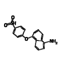 Nc1cccc2c(Oc3ccc([SH](=O)=O)cc3)cccc12